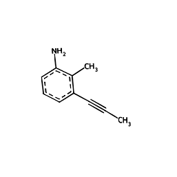 CC#Cc1cccc(N)c1C